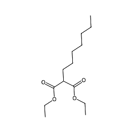 CCCCCCCC(C(=O)OCC)C(=O)OCC